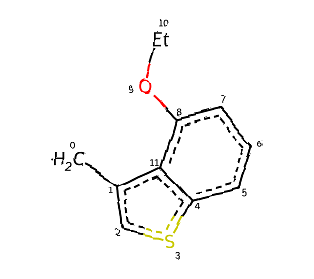 [CH2]c1csc2cccc(OCC)c12